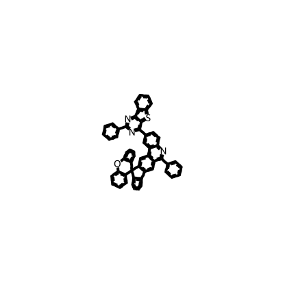 c1ccc(-c2nc(-c3ccc4nc(-c5ccccc5)c5cc6c(cc5c4c3)C3(c4ccccc4Oc4ccccc43)c3ccccc3-6)c3sc4ccccc4c3n2)cc1